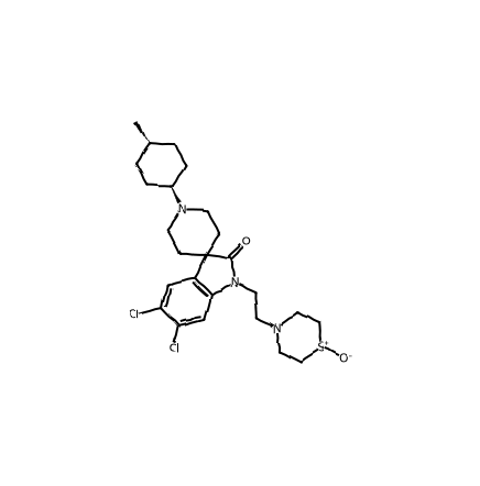 C[C@H]1CC[C@@H](N2CCC3(CC2)C(=O)N(CCN2CC[S+]([O-])CC2)c2cc(Cl)c(Cl)cc23)CC1